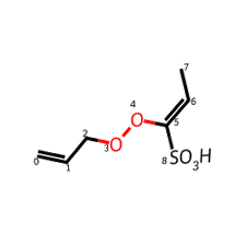 C=CCOO/C(=C\C)S(=O)(=O)O